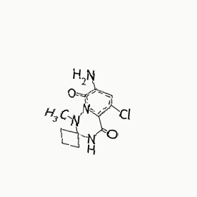 CN1n2c(c(Cl)cc(N)c2=O)C(=O)NC12CCC2